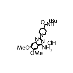 COc1cc2nc(N3CCC(C(=O)NC(C)(C)C)CC3)nc(N)c2cc1OC.Cl